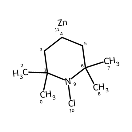 CC1(C)CCCC(C)(C)N1Cl.[Zn]